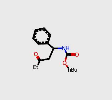 CCCCOC(=O)NC(CC(=O)CC)c1ccccc1